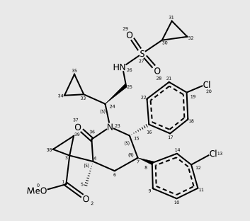 COC(=O)C1([C@]2(C)C[C@H](c3cccc(Cl)c3)[C@@H](c3ccc(Cl)cc3)N([C@H](CNS(=O)(=O)C3CC3)C3CC3)C2=O)CC1